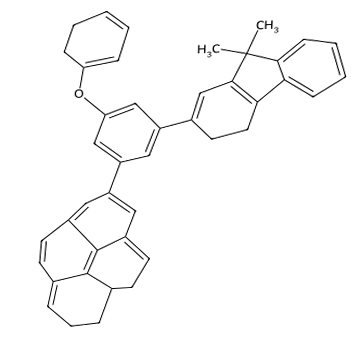 CC1(C)C2=C(CCC(c3cc(OC4=CC=CCC4)cc(-c4cc5c6c7c(ccc6c4)=CCCC7CC=5)c3)=C2)c2ccccc21